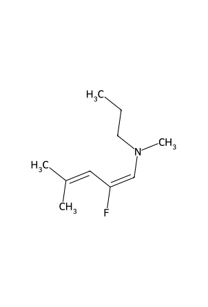 CCCN(C)/C=C(/F)C=C(C)C